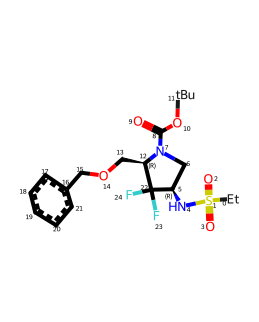 CCS(=O)(=O)N[C@@H]1CN(C(=O)OC(C)(C)C)[C@H](COCc2ccccc2)C1(F)F